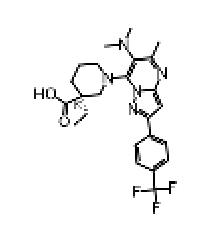 CC[C@]1(C(=O)O)CCCN(c2c(N(C)C)c(C)nc3cc(-c4ccc(C(F)(F)F)cc4)nn23)C1